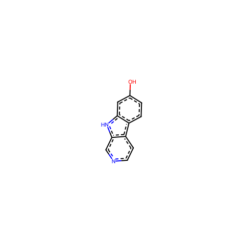 Oc1ccc2c(c1)[nH]c1cnccc12